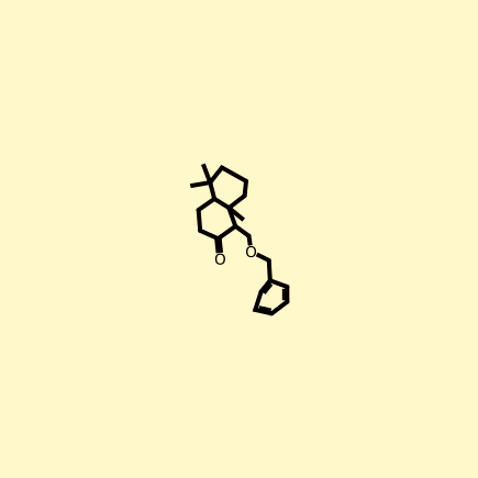 CC1(C)CCCC2(C)C(COCc3ccccc3)C(=O)CCC12